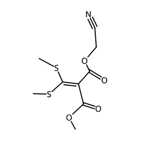 COC(=O)C(C(=O)OCC#N)=C(SC)SC